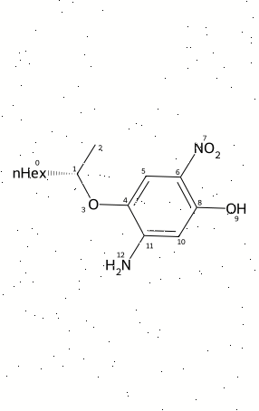 CCCCCC[C@H](C)Oc1cc([N+](=O)[O-])c(O)cc1N